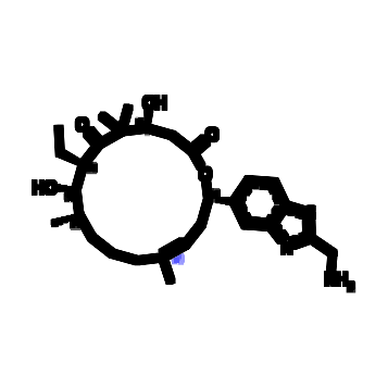 CC[C@H]1C(=O)C(C)(C)[C@@H](O)CC(=O)O[C@H](c2ccc3sc(CN)nc3c2)C/C=C(/C)CCC[C@H](C)[C@@H]1O